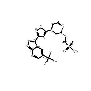 CS(=O)(=O)NC[C@@H]1CN(c2nc(-c3cnc4ccc(C(F)(F)F)cn34)ns2)CCO1